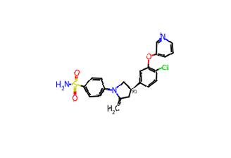 C=C1C[C@H](c2ccc(Cl)c(Oc3cccnc3)c2)CN1c1ccc(S(N)(=O)=O)cc1